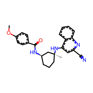 COc1ccc(C(=O)N[C@@H]2CCC[C@](C)(Nc3cc(C#N)nc4ccccc34)C2)cc1